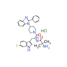 CC(C)(N)C(=O)NC(Cc1c[nH]c2cc(F)ccc12)C(=O)N1CCC(n2c(-c3ccccc3)nc3ccccc32)CC1.Cl